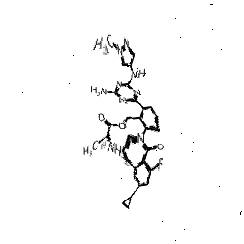 C[C@H](N)C(=O)OCc1c(-c2nc(N)nc(Nc3cnn(C)c3)n2)cccc1-n1ccc2cc(C3CC3)cc(F)c2c1=O